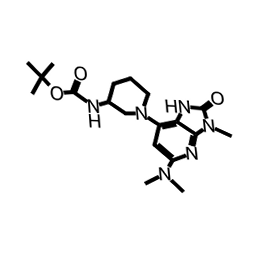 CN(C)c1cc(N2CCCC(NC(=O)OC(C)(C)C)C2)c2[nH]c(=O)n(C)c2n1